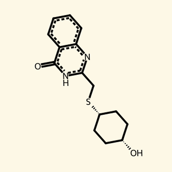 O=c1[nH]c(CS[C@H]2CC[C@@H](O)CC2)nc2ccccc12